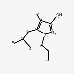 CCCn1nc(O)c(C)c1CC(C)C